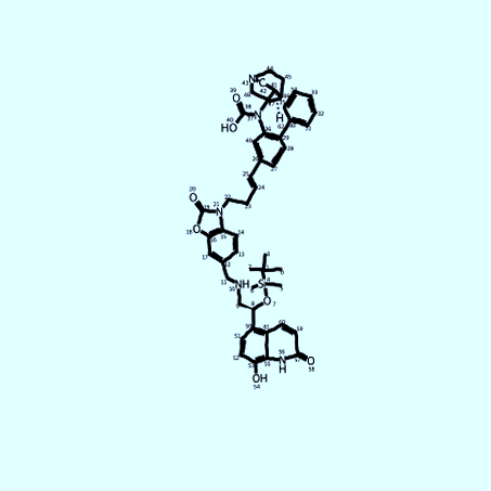 CC(C)(C)[Si](C)(C)O[C@H](CNCc1ccc2c(c1)oc(=O)n2CC/C=C/c1ccc(-c2ccccc2)c(N(C(=O)O)[C@H]2CN3CCC2CC3)c1)c1ccc(O)c2[nH]c(=O)ccc12